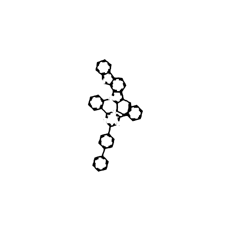 C1=Cc2c(n(-c3ccccc3-c3nc(-c4ccccc4)nc(-c4ccc(-c5ccccc5)cc4)n3)c3c2ccc2c4ccccc4sc23)CC1